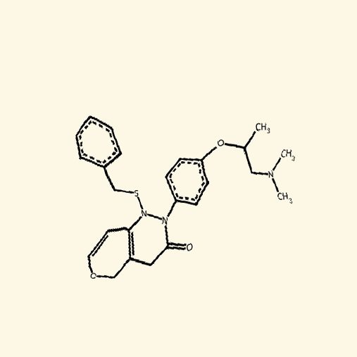 CC(CN(C)C)Oc1ccc(N2C(=O)CC3=C(C=COC3)N2SCc2ccccc2)cc1